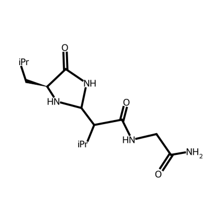 CC(C)C[C@@H]1NC(C(C(=O)NCC(N)=O)C(C)C)NC1=O